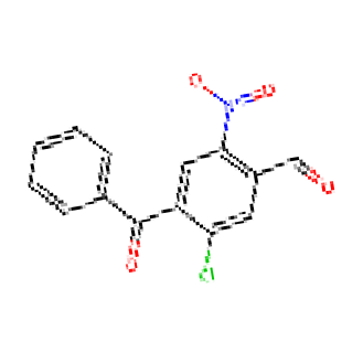 O=Cc1cc(Cl)c(C(=O)c2ccccc2)cc1[N+](=O)[O-]